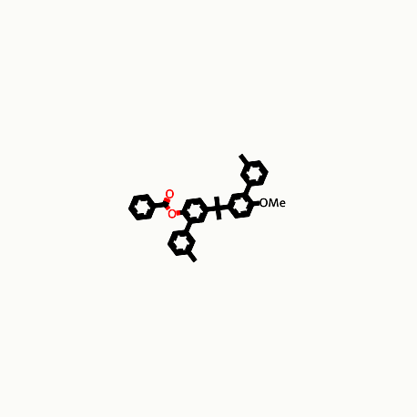 COc1ccc(C(C)(C)c2ccc(OC(=O)c3ccccc3)c(-c3cccc(C)c3)c2)cc1-c1cccc(C)c1